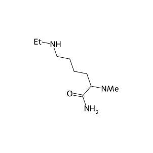 CCNCCCCC(NC)C(N)=O